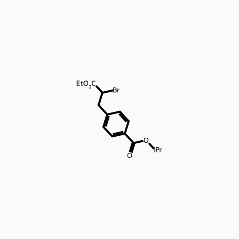 CCOC(=O)C(Br)Cc1ccc(C(=O)OC(C)C)cc1